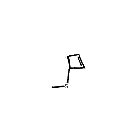 CSC1[CH]C=C1